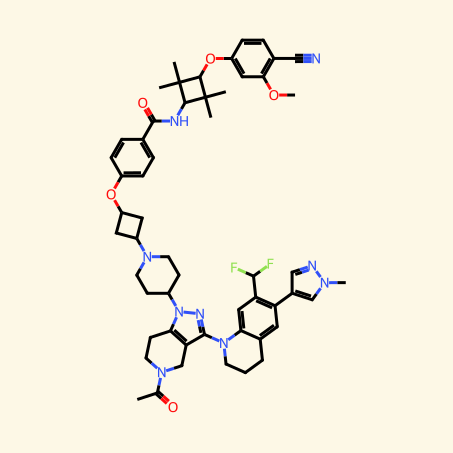 COc1cc(OC2C(C)(C)C(NC(=O)c3ccc(OC4CC(N5CCC(n6nc(N7CCCc8cc(-c9cnn(C)c9)c(C(F)F)cc87)c7c6CCN(C(C)=O)C7)CC5)C4)cc3)C2(C)C)ccc1C#N